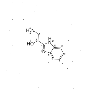 NCC(O)c1nc2ccccc2[nH]1